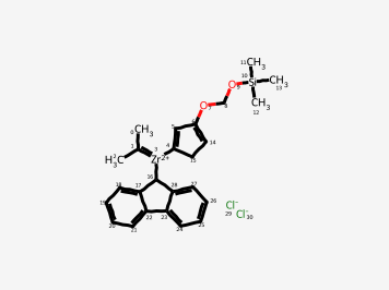 C[C](C)=[Zr+2]([C]1=CC(OCO[Si](C)(C)C)=CC1)[CH]1c2ccccc2-c2ccccc21.[Cl-].[Cl-]